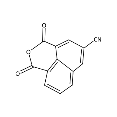 N#Cc1cc2c3c(cccc3c1)C(=O)OC2=O